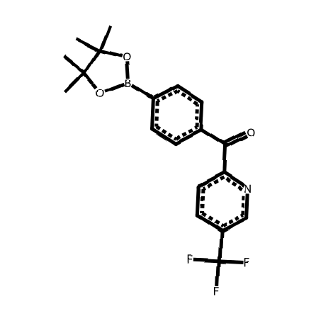 CC1(C)OB(c2ccc(C(=O)c3ccc(C(F)(F)F)cn3)cc2)OC1(C)C